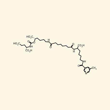 Cc1cncc(C(=O)NCCCCC(NC(=O)CCCCCCC(=O)NCCCC[C@H](OC(=O)N[C@@H](CCC(=O)O)C(=O)O)C(=O)O)C(=O)O)c1